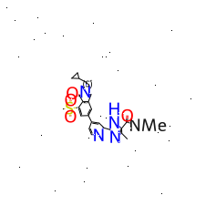 CNC(=O)c1[nH]c(-c2cc(-c3cc4c(c(S(C)(=O)=O)c3)C(=O)N([C@@H](C)C3CC3)C4)ccn2)nc1C